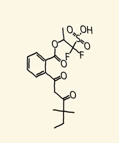 CCC(C)(C)C(=O)CC(=O)c1ccccc1C(=O)OC(C)C(F)(F)S(=O)(=O)O